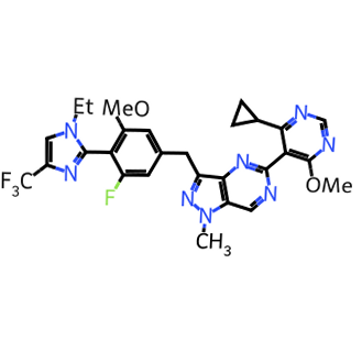 CCn1cc(C(F)(F)F)nc1-c1c(F)cc(Cc2nn(C)c3cnc(-c4c(OC)ncnc4C4CC4)nc23)cc1OC